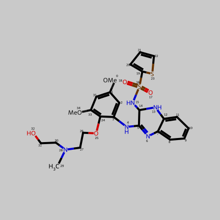 COc1cc(NC2=Nc3ccccc3NC2NS(=O)(=O)c2cccs2)c(OCCN(C)CCO)c(OC)c1